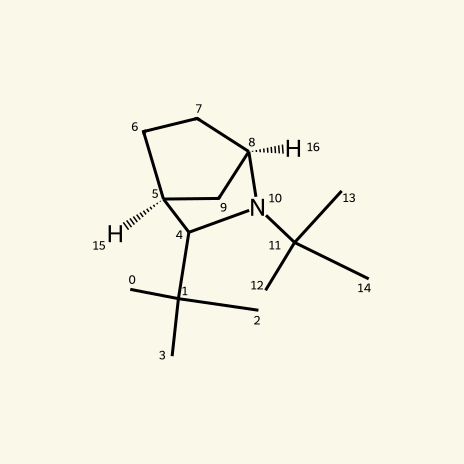 CC(C)(C)C1[C@H]2CC[C@H](C2)N1C(C)(C)C